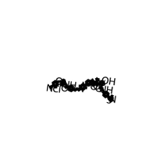 Cc1ncsc1-c1ccc(CNC(=O)[C@@H]2C[C@@H](O)CN2C(=O)C(C(C)C)N2Cc3ccc(N4CCN(CCCc5ccc(C(=O)NC6C(C)(C)C(Oc7ccc(C#N)c(Cl)c7)C6(C)C)cc5)CC4)cc3C2=O)cc1